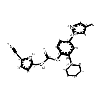 Cc1cnn(-c2ccc(NC(=O)Oc3ccc(C#N)o3)c(N3CCCCC3)c2)c1